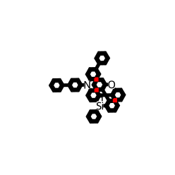 c1ccc(-c2ccc(N(c3ccc(-c4ccccc4)cc3)c3ccc4c(c3)C3(c5ccccc5Oc5ccccc53)c3ccccc3[SiH]4c3ccccc3)cc2)cc1